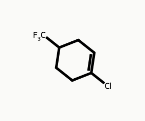 FC(F)(F)C1CC=C(Cl)CC1